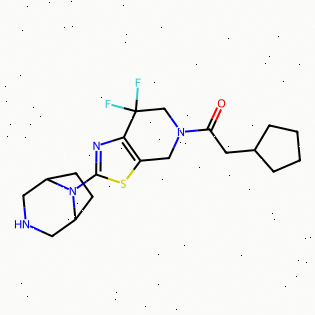 O=C(CC1CCCC1)N1Cc2sc(N3C4CCC3CNC4)nc2C(F)(F)C1